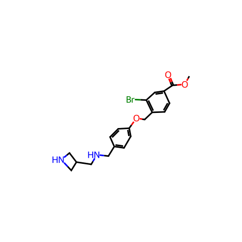 COC(=O)c1ccc(COc2ccc(CNCC3CNC3)cc2)c(Br)c1